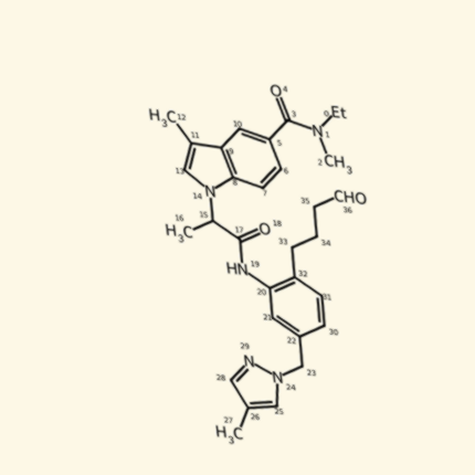 CCN(C)C(=O)c1ccc2c(c1)c(C)cn2C(C)C(=O)Nc1cc(Cn2cc(C)cn2)ccc1CCCC=O